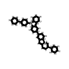 C/C=C(\C=C/C1=Cc2cc(-c3ccc4c(c3)c3ccccc3n4-c3ccc(-c4ccccc4)cc3)ccc2C1)c1ccccc1